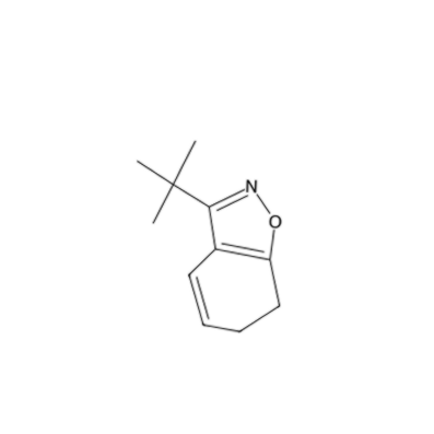 CC(C)(C)c1noc2c1C=CCC2